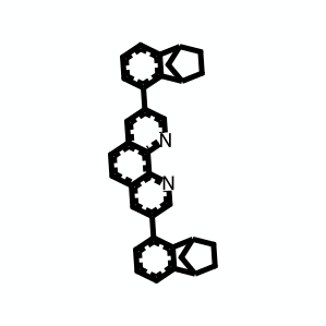 c1cc(-c2cnc3c(ccc4cc(-c5cccc6c5C5CCC6C5)cnc43)c2)c2c(c1)C1CCC2C1